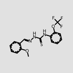 COc1ccccc1/C=N/NC(=S)Nc1ccccc1OC(F)(F)F